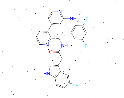 Nc1cc(-c2cccnc2[C@H](Cc2cc(F)cc(F)c2)NC(=O)Cc2c[nH]c3ccc(F)cc23)ccn1